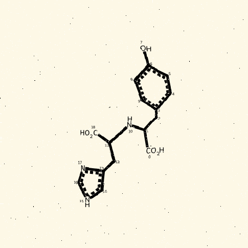 O=C(O)C(Cc1ccc(O)cc1)NC(Cc1c[nH]cn1)C(=O)O